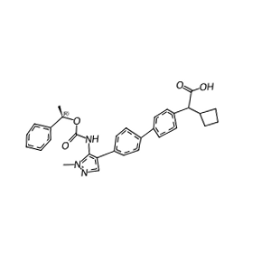 C[C@@H](OC(=O)Nc1c(-c2ccc(-c3ccc(C(C(=O)O)C4CCC4)cc3)cc2)cnn1C)c1ccccc1